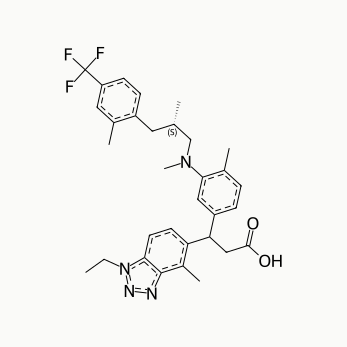 CCn1nnc2c(C)c(C(CC(=O)O)c3ccc(C)c(N(C)C[C@@H](C)Cc4ccc(C(F)(F)F)cc4C)c3)ccc21